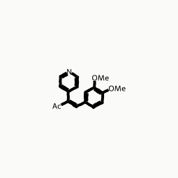 COc1ccc(C=C(C(C)=O)c2ccncc2)cc1OC